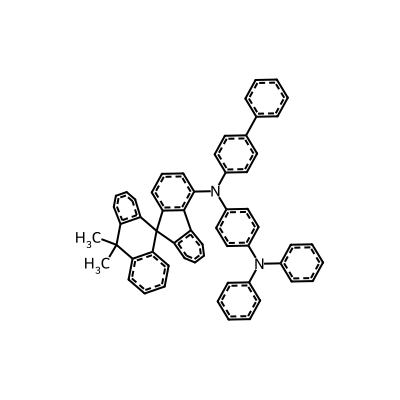 CC1(C)c2ccccc2C2(c3ccccc3-c3c(N(c4ccc(-c5ccccc5)cc4)c4ccc(N(c5ccccc5)c5ccccc5)cc4)cccc32)c2ccccc21